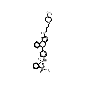 CN1CCN(CCCNc2ncc3c(n2)-c2ccccc2C(c2ccc(NS(=O)(=O)c4ccccc4S(C)(=O)=O)cc2)C3)CC1